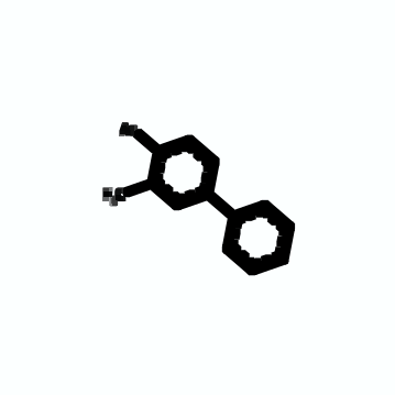 CC(=O)c1ccc(-c2ccccc2)cc1C(F)(F)F